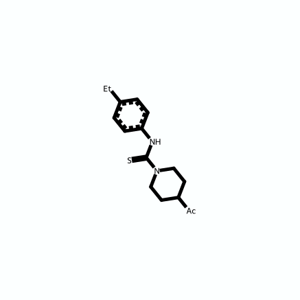 CCc1ccc(NC(=S)N2CCC(C(C)=O)CC2)cc1